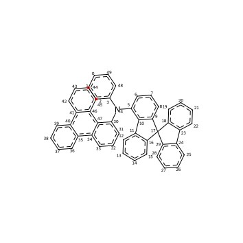 c1ccc(N(c2cccc3c2-c2ccccc2C32c3ccccc3-c3ccccc32)c2cccc3c4ccccc4c4ccccc4c23)cc1